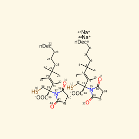 CCCCCCCCCCCCCC(C)(C)C(C)=C(C)[C@](CS)(C(=O)[O-])N1C(=O)CCC1=O.CCCCCCCCCCCCCC(C)(C)C(C)=C(C)[C@](CS)(C(=O)[O-])N1C(=O)CCC1=O.[Na+].[Na+]